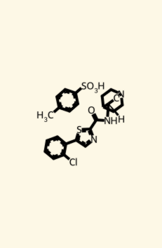 Cc1ccc(S(=O)(=O)O)cc1.O=C(N[C@H]1CN2CCC1CC2)c1ncc(-c2ccccc2Cl)s1